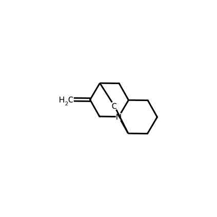 C=C1CN2C3CCCC2CC1C3